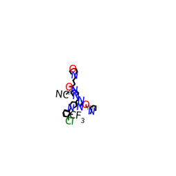 CN1CCC[C@H]1COc1nc2c(c(N3CCN(C(=O)CCCN4CCOCC4)[C@@H](CC#N)C3)n1)CCN(c1cccc(Cl)c1C(F)(F)F)C2